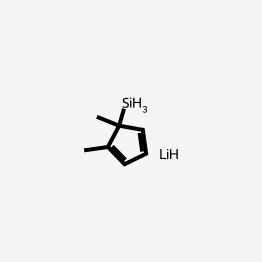 CC1=CC=CC1(C)[SiH3].[LiH]